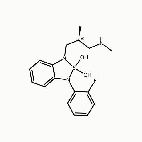 CNC[C@H](C)CN1c2ccccc2N(c2ccccc2F)S1(O)O